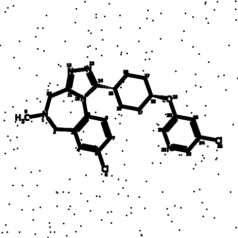 CN1Cc2cc(Cl)ccc2-n2c(nnc2[C@H]2CC[C@H](Oc3cncc(Cl)c3)CC2)C1